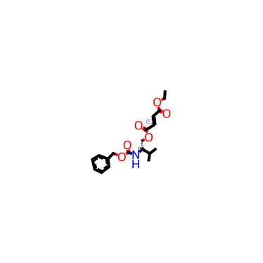 CCOC(=O)/C=C/C(=O)OC[C@@H](NC(=O)OCc1ccccc1)C(C)C